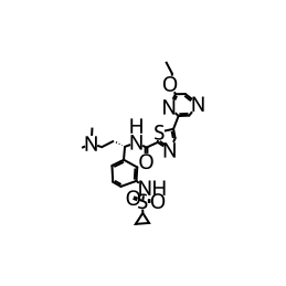 CCOc1cncc(-c2cnc(C(=O)N[C@@H](CCN(C)C)c3cccc(NS(=O)(=O)C4CC4)c3)s2)n1